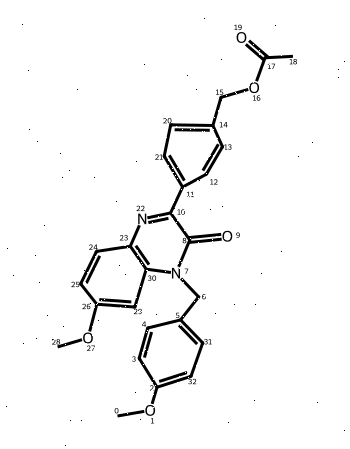 COc1ccc(Cn2c(=O)c(-c3ccc(COC(C)=O)cc3)nc3ccc(OC)cc32)cc1